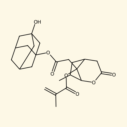 C=C(C)C(=O)OC1(CC(=O)OC23CC4CC(CC(O)(C4)C2)C3)C2CC(=O)OC1C(C)C2